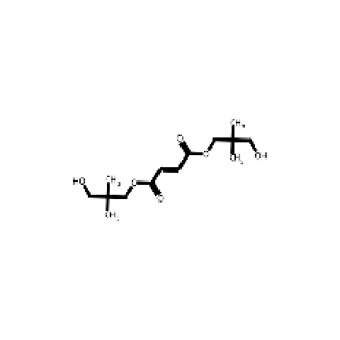 CC(C)(CO)COC(=O)/C=C/C(=O)OCC(C)(C)CO